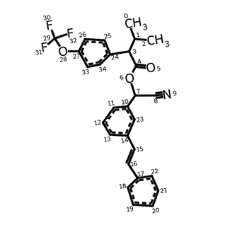 CC(C)C(C(=O)OC(C#N)c1cccc(C=Cc2ccccc2)c1)c1ccc(OC(F)(F)F)cc1